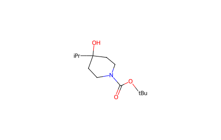 CC(C)C1(O)CCN(C(=O)OC(C)(C)C)CC1